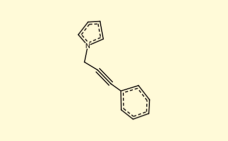 C(#Cc1ccccc1)Cn1cccc1